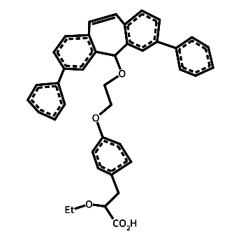 CCOC(Cc1ccc(OCCOC2c3cc(-c4ccccc4)ccc3C=Cc3ccc(-c4ccccc4)cc32)cc1)C(=O)O